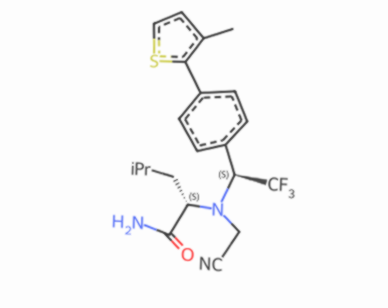 Cc1ccsc1-c1ccc([C@H](N(CC#N)[C@@H](CC(C)C)C(N)=O)C(F)(F)F)cc1